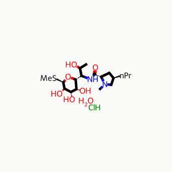 CCC[C@@H]1C[C@@H](C(=O)NC(C(C)O)[C@H]2O[C@H](SC)[C@H](O)[C@@H](O)[C@H]2O)N(C)C1.Cl.O